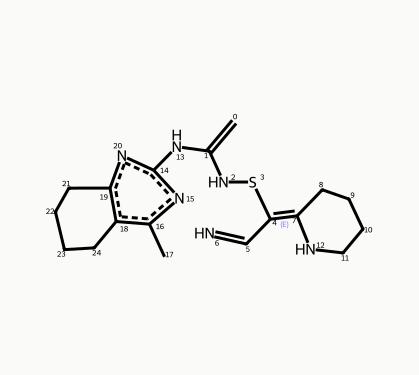 C=C(NS/C(C=N)=C1\CCCCN1)Nc1nc(C)c2c(n1)CCCC2